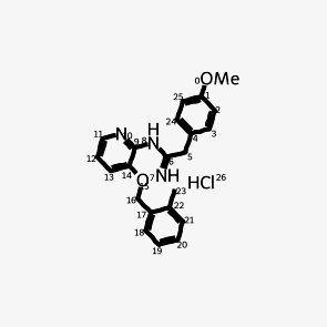 COc1ccc(CC(=N)Nc2ncccc2OCc2ccccc2C)cc1.Cl